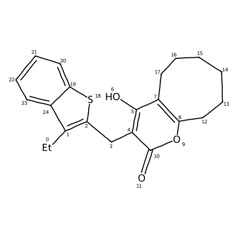 CCc1c(Cc2c(O)c3c(oc2=O)CCCCCC3)sc2ccccc12